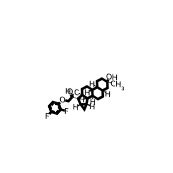 C[C@@]1(O)CC[C@H]2[C@H](CC[C@@H]3[C@@H]2CC[C@@]2(C)[C@H]3[C@@H]3C[C@@H]3[C@@H]2C(=O)COc2ccc(F)cc2F)C1